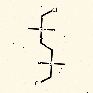 C[Si](C)(CCl)CC[Si](C)(C)CCl